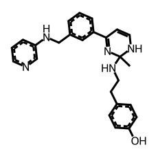 CC1(NCCc2ccc(O)cc2)N=C(c2cccc(CNc3cccnc3)c2)C=CN1